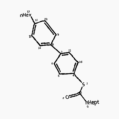 CCCCCCCC(=O)Sc1ccc(-c2ccc(CCCCCC)cc2)cc1